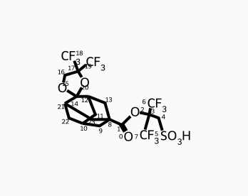 O=C(OC(CS(=O)(=O)O)(C(F)(F)F)C(F)(F)F)C12CC3CC(C1)C1(OCC(C(F)(F)F)(C(F)(F)F)O1)C(C3)C2